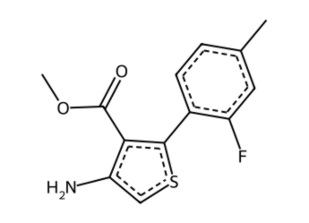 COC(=O)c1c(N)csc1-c1ccc(C)cc1F